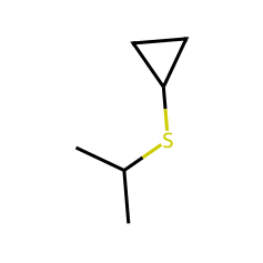 CC(C)SC1CC1